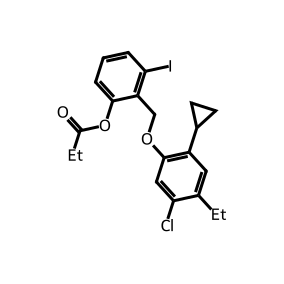 CCC(=O)Oc1cccc(I)c1COc1cc(Cl)c(CC)cc1C1CC1